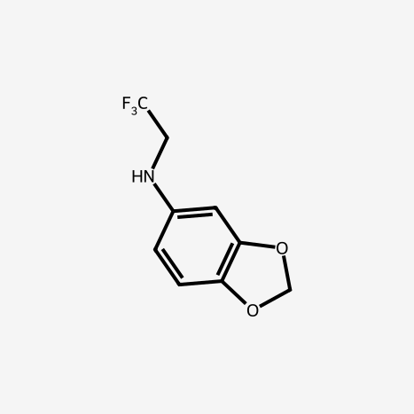 FC(F)(F)CNc1ccc2c(c1)OCO2